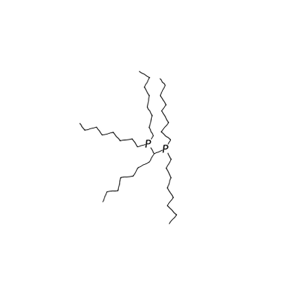 CCCCCCCCP(CCCCCCCC)C(CCCCCCC)P(CCCCCCCC)CCCCCCCC